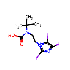 CC(C)(C)N(CCn1c(I)nc(I)c1I)C(=O)O